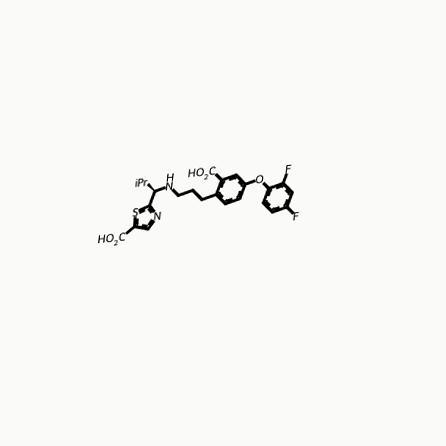 CC(C)[C@@H](NCCCc1ccc(Oc2ccc(F)cc2F)cc1C(=O)O)c1ncc(C(=O)O)s1